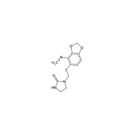 C=Nc1c(SCN2CCNC2=O)ccc2c1OCO2